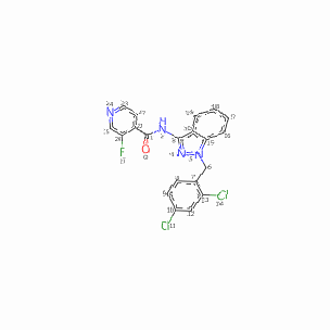 O=C(Nc1nn(Cc2ccc(Cl)cc2Cl)c2ccccc12)c1ccncc1F